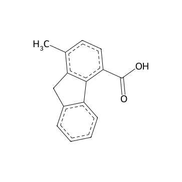 Cc1ccc(C(=O)O)c2c1Cc1ccccc1-2